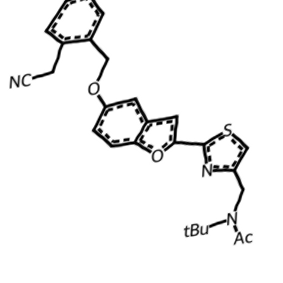 CC(=O)N(Cc1csc(-c2cc3cc(OCc4ccccc4CC#N)ccc3o2)n1)C(C)(C)C